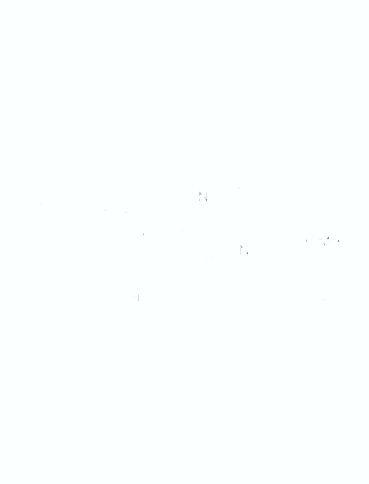 COc1ccccc1N1CCN(CC2Cc3ccccc3C2=O)CC1.Cl